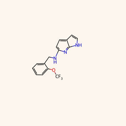 FC(F)(F)Oc1ccccc1CNc1ccc2cc[nH]c2n1